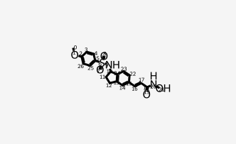 COc1ccc(S(=O)(=O)NC2CCc3cc(/C=C/C(=O)NO)ccc32)cc1